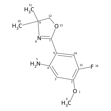 COc1cc(N)c(C2=NC(C)(C)CO2)cc1F